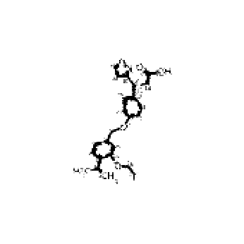 C=C(C)c1ccc(COc2ccc([C@H](CC(=O)O)c3ccon3)cc2)cc1OCF